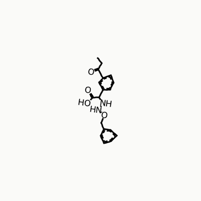 CCC(=O)c1cccc(C(NNOCc2ccccc2)C(=O)O)c1